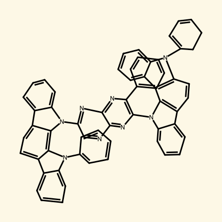 C1=CCCC(n2c3ccccc3c3c2ccc2c4ccccc4n(-c4nc5ncc(-n6c7ccccc7c7ccc8c9ccccc9n(-c9ccccc9)c8c76)nc5nc4-c4ccccc4)c23)=C1